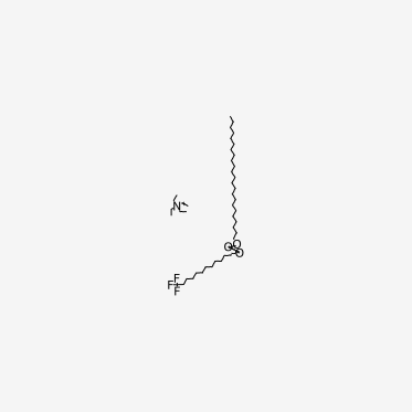 CCCCCCCCCCCCCCCCCCCCCCCOS(=O)(=O)CCCCCCCCCCCC(F)(F)F.CC[N+](CC)(CC)CC